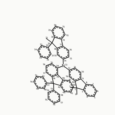 CC1(C)c2ccccc2-c2ccc(N(c3ccc4c(c3)C(C)(c3ccccc3)c3ccccc3-4)c3cccc4c3-c3ccccc3C4(c3ccccc3)c3ccccc3)cc21